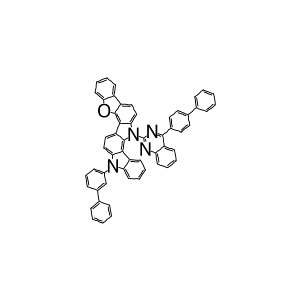 c1ccc(-c2ccc(-c3nc(-n4c5ccc6c7ccccc7oc6c5c5ccc6c(c7ccccc7n6-c6cccc(-c7ccccc7)c6)c54)nc4ccccc34)cc2)cc1